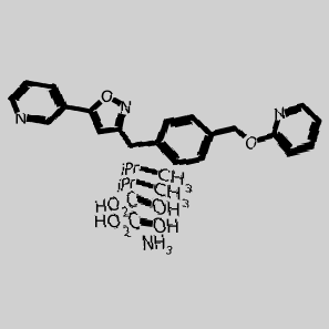 CC(C)C.CC(C)C.N.O=C(O)O.O=C(O)O.c1ccc(OCc2ccc(Cc3cc(-c4cccnc4)on3)cc2)nc1